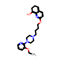 CCOc1cccnc1N1CCN(CCCCOc2ccc3c(n2)=C(O)CCC=3)CC1